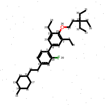 CCc1cc(-c2ccc(CCC3CCC(C)CC3)cc2F)cc(CC)c1OCCC(CC)(CC)CC